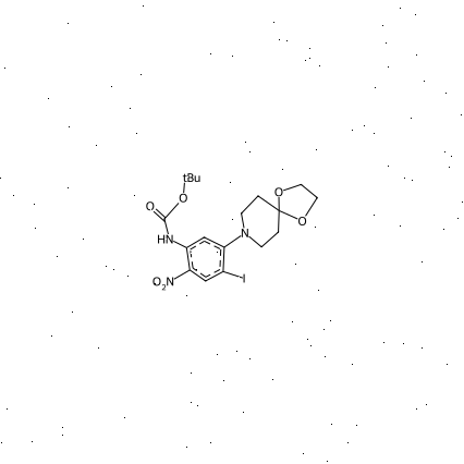 CC(C)(C)OC(=O)Nc1cc(N2CCC3(CC2)OCCO3)c(I)cc1[N+](=O)[O-]